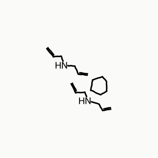 C1CCCCC1.C=CCNCC=C.C=CCNCC=C